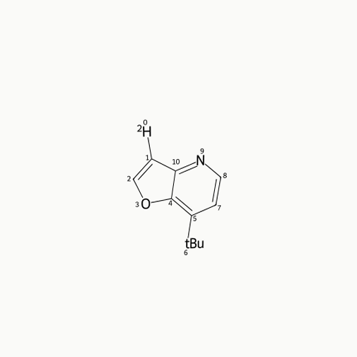 [2H]c1coc2c(C(C)(C)C)ccnc12